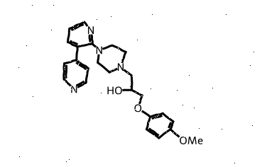 COc1ccc(OCC(O)CN2CCN(c3ncccc3-c3ccncc3)CC2)cc1